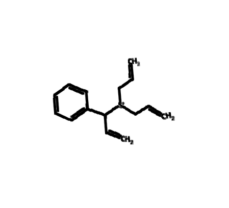 C=CC[S+](CC=C)C(C=C)c1ccccc1